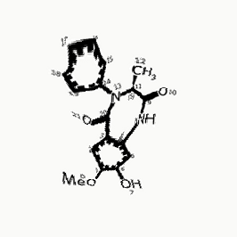 COc1cc2c(cc1O)NC(=O)[C@H](C)N(c1ccccc1)C2=O